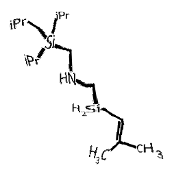 CC(C)=C[SiH2]CNC[Si](C(C)C)(C(C)C)C(C)C